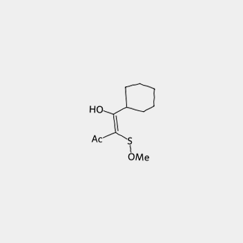 COS/C(C(C)=O)=C(/O)C1CCCCC1